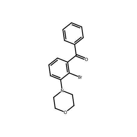 O=C(c1ccccc1)c1cccc(N2CCOCC2)c1Br